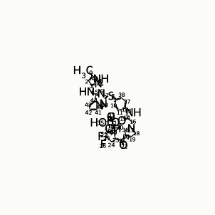 Cc1cc(Nc2nc(Sc3ccc(NC(=O)CN4CC[C@@H](C(=O)C5CC(F)(F)C[C@H]5COP(=O)(O)O)C4)cc3)nn3cccc23)n[nH]1